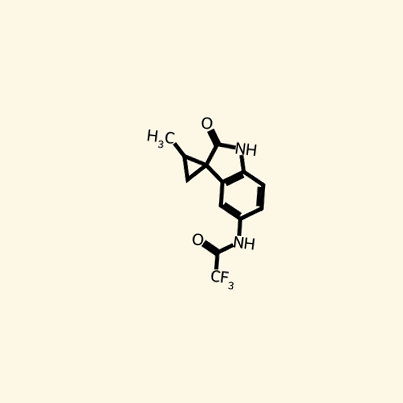 CC1CC12C(=O)Nc1ccc(NC(=O)C(F)(F)F)cc12